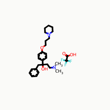 CN(C)CCC(O)(Cc1ccccc1)c1ccc(OCCCN2CCCCC2)cc1.O=C(O)C(F)(F)F